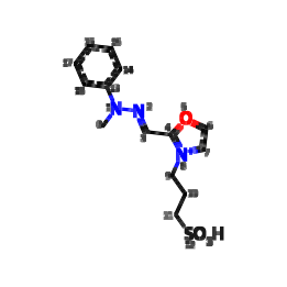 CN(N=Cc1occ[n+]1CCCS(=O)(=O)O)c1ccccc1